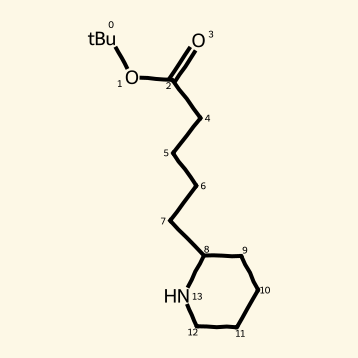 CC(C)(C)OC(=O)CCCCC1CCCCN1